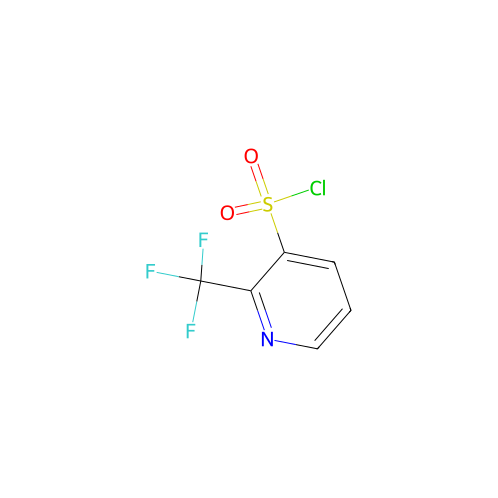 O=S(=O)(Cl)c1cccnc1C(F)(F)F